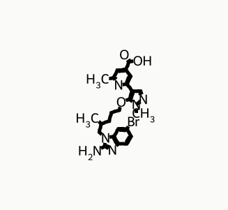 Cc1cc(C(=O)O)cc(-c2cnn(C)c2OCCCC(C)Cn2c(N)nc3ccc(Br)cc32)n1